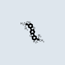 CC(C)(C)c1ccc2oc3cc4c(cc3c2c1)oc1ccc(C(C)(C)C)cc14